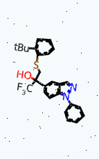 CC(C)(C)c1ccccc1SCC(O)(c1ccc2c(cnn2-c2ccccc2)c1)C(F)(F)F